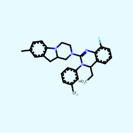 Cc1ccc2c(c1)CC1CN(C3=Nc4c(F)cccc4C(CC(=O)O)N3c3cccc(C(F)(F)F)c3)CCN21